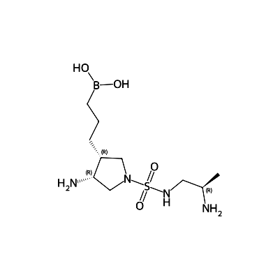 C[C@@H](N)CNS(=O)(=O)N1C[C@@H](CCCB(O)O)[C@@H](N)C1